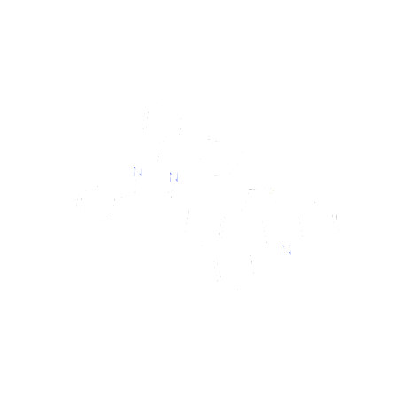 c1ccc(-c2cc(-c3cccc(-c4c(-c5ccccc5)sc5c4c(-c4ccccc4)nc4ccccc45)c3)nc(-c3ccccc3)n2)cc1